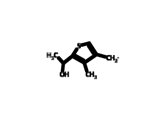 [CH2]c1csc(C(C)O)c1C